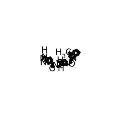 Cc1cc(C(=O)N2CC3C(C2)[C@@H]2CN(C(=O)c4ccc5[nH]nnc5c4)C[C@H]32)nc2ccccc12